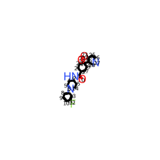 O=C(NC1CCN(c2cccc(F)c2)CC1)C1CCC2(CC1)OOc1ccncc12